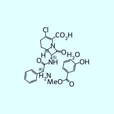 COC(=O)c1cccc(O)c1.N[C@@H](C(=O)N[C@@H]1C(=O)N2C(C(=O)O)=C(Cl)CC[C@H]12)c1ccccc1.O